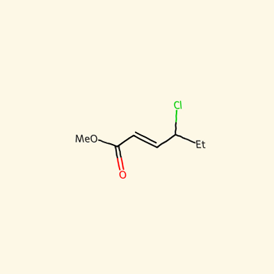 CCC(Cl)/C=C/C(=O)OC